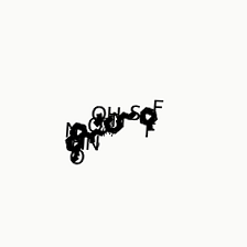 CNC(CC[C@@H]1CCN(CCSc2cc(F)cc(F)c2)C[C@@H]1C(=O)O)c1ccnc2ccc(OC)cc12